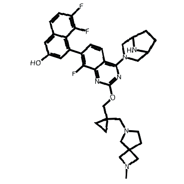 CN1CC2(CCN(CC3(COc4nc(N5CC6CCC(C5)N6)c5ccc(-c6cc(O)cc7ccc(F)c(F)c67)c(F)c5n4)CC3)C2)C1